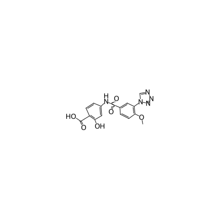 COc1ccc(S(=O)(=O)Nc2ccc(C(=O)O)c(O)c2)cc1-n1cnnn1